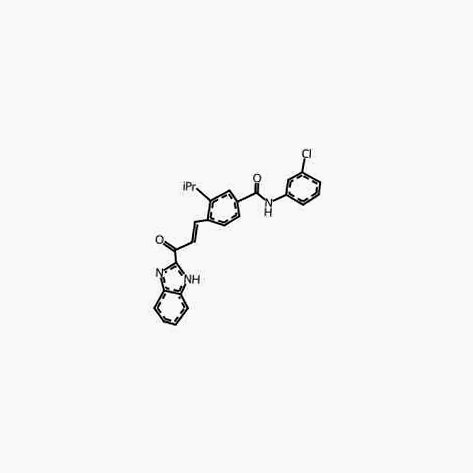 CC(C)c1cc(C(=O)Nc2cccc(Cl)c2)ccc1C=CC(=O)c1nc2ccccc2[nH]1